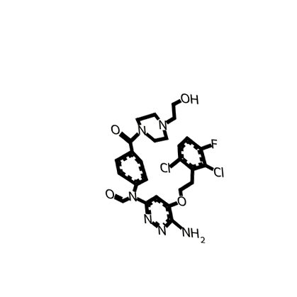 Nc1nnc(N(C=O)c2ccc(C(=O)N3CCN(CCO)CC3)cc2)cc1OCCc1c(Cl)ccc(F)c1Cl